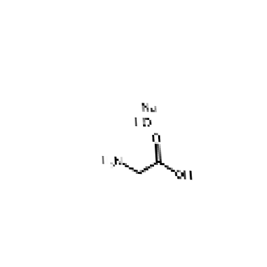 NCC(=O)O.[Na+].[OH-]